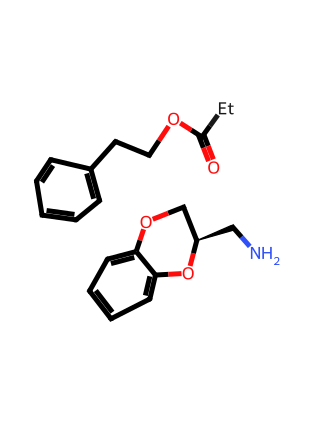 CCC(=O)OCCc1ccccc1.NC[C@@H]1COc2ccccc2O1